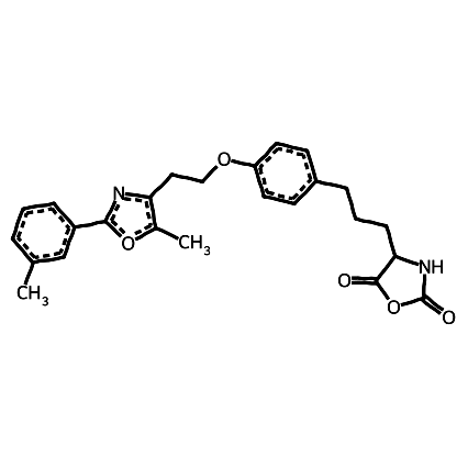 Cc1cccc(-c2nc(CCOc3ccc(CCCC4NC(=O)OC4=O)cc3)c(C)o2)c1